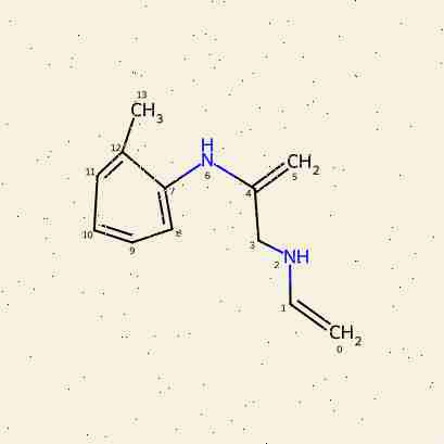 C=CNCC(=C)Nc1ccccc1C